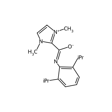 CC(C)c1cccc(C(C)C)c1/N=C(\[O-])c1n(C)cc[n+]1C